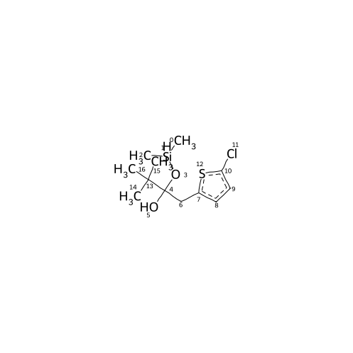 C[SiH](C)OC(O)(Cc1ccc(Cl)s1)C(C)(C)C